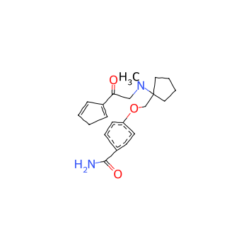 CN(CC(=O)C1=CCC=C1)C1(COc2ccc(C(N)=O)cc2)CCCC1